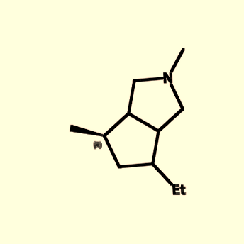 CCC1C[C@@H](C)C2CN(C)CC12